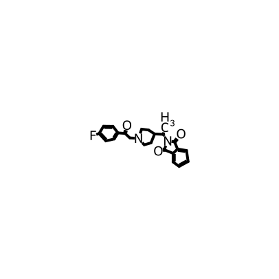 CC(C1CCN(CC(=O)c2ccc(F)cc2)CC1)N1C(=O)c2ccccc2C1=O